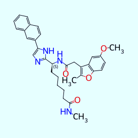 CNC(=O)CCCCC[C@H](NC(=O)Cc1c(C)oc2ccc(OC)cc12)c1ncc(-c2ccc3ccccc3c2)[nH]1